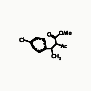 COC(=O)C(C(C)=O)C(C)c1ccc(Cl)cc1